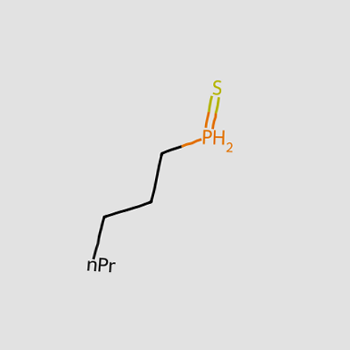 CCCCCC[PH2]=S